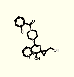 O=C(c1ccccc1Cl)N1CCN(/C(=N/C2(C(=O)O)CC2CO)c2cccnn2)CC1